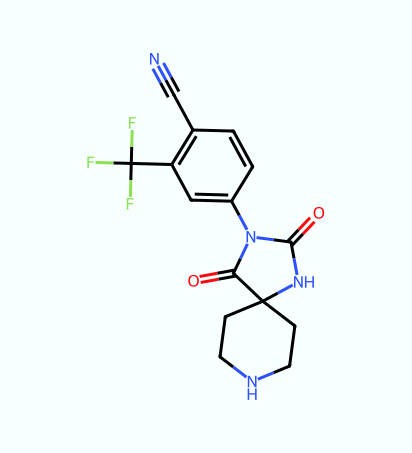 N#Cc1ccc(N2C(=O)NC3(CCNCC3)C2=O)cc1C(F)(F)F